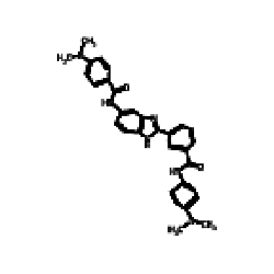 CN(C)c1ccc(NC(=O)c2cccc(-c3nc4cc(NC(=O)c5ccc(N(C)C)cc5)ccc4[nH]3)c2)cc1